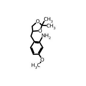 COc1ccc(CC2COC(C)(C)O2)c(N)c1